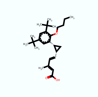 CCCCOc1c([C@@H]2C[C@@H]2C=CC(C)=CC(=O)O)cc(C(C)(C)C)cc1C(C)(C)C